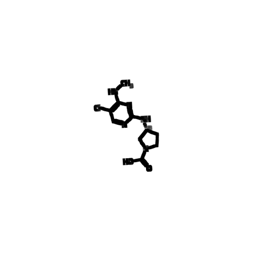 CNc1nc(N[C@@H]2CCN(C(=O)O)C2)ncc1Cl